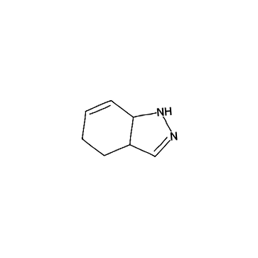 C1=CC2NN=CC2CC1